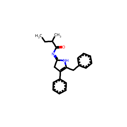 CCC(C)C(=O)/N=C1/CC(c2ccccc2)=C(Cc2ccccc2)N1